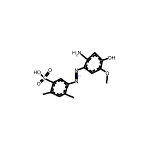 COc1cc(/N=N/c2cc(S(=O)(=O)O)c(C)cc2C)c(N)cc1O